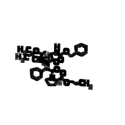 C=CCOC(=O)[C@H]1CCCN1C(=O)[C@@H](NC(=O)[C@H](CC(=O)OC(C)(C)C)NC(=O)OCc1ccccc1)c1ccccc1